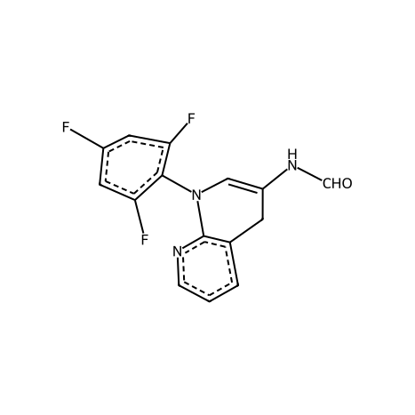 O=CNC1=CN(c2c(F)cc(F)cc2F)c2ncccc2C1